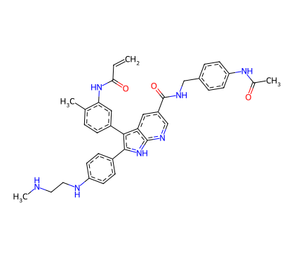 C=CC(=O)Nc1cc(-c2c(-c3ccc(NCCNC)cc3)[nH]c3ncc(C(=O)NCc4ccc(NC(C)=O)cc4)cc23)ccc1C